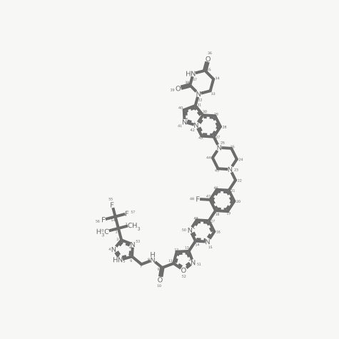 CC(C)(c1n[nH]c(CNC(=O)c2cc(-c3ncc(-c4ccc(CN5CCN(c6ccc7c(N8CCC(=O)NC8=O)cnn7c6)CC5)cc4F)cn3)no2)n1)C(F)(F)F